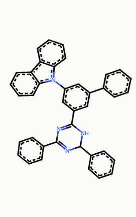 c1ccc(C2=NC(c3ccccc3)NC(c3cc(-c4ccccc4)cc(-n4c5ccccc5c5ccccc54)c3)=N2)cc1